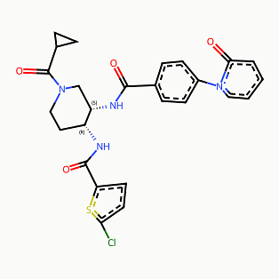 O=C(N[C@H]1CN(C(=O)C2CC2)CC[C@H]1NC(=O)c1ccc(Cl)s1)c1ccc(-n2ccccc2=O)cc1